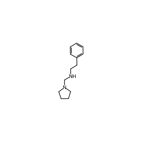 c1ccc(CCNCN2CCCC2)cc1